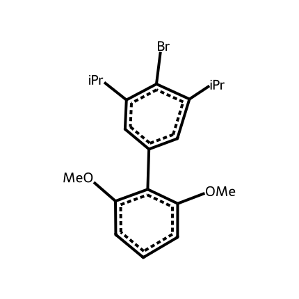 COc1cccc(OC)c1-c1cc(C(C)C)c(Br)c(C(C)C)c1